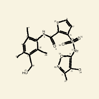 Cc1cc(C)c(NC(=O)c2sccc2S(=O)(=O)Nc2onc(C)c2Cl)c(C)c1CO